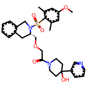 COc1cc(C)c(S(=O)(=O)N2Cc3ccccc3C[C@H]2COCC(=O)N2CCC(O)(c3cccnc3)CC2)c(C)c1